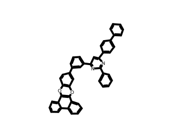 c1ccc(-c2ccc(-c3cc(-c4cccc(-c5ccc6c(c5)Oc5c(c7ccccc7c7ccccc57)O6)c4)nc(-c4ccccc4)n3)cc2)cc1